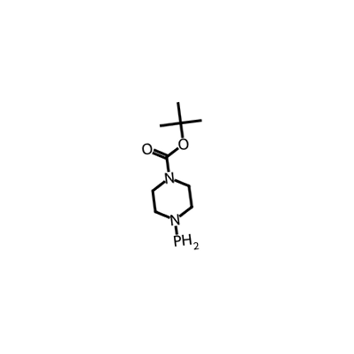 CC(C)(C)OC(=O)N1CCN(P)CC1